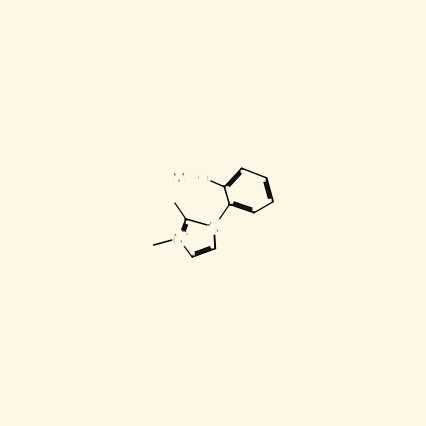 COc1ccccc1-n1cc[n+](C)c1C